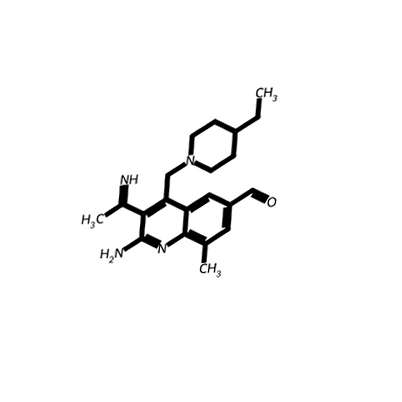 CCC1CCN(Cc2c(C(C)=N)c(N)nc3c(C)cc(C=O)cc23)CC1